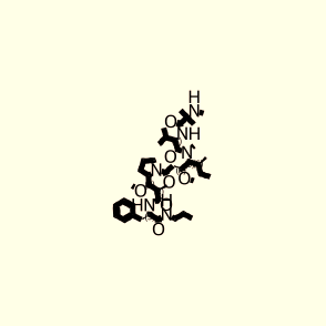 CCCNC(=O)[C@H](Cc1ccccc1)NC(=O)[C@H](C)[C@@H](OC)C1CCCN1C(=O)C[C@@H](OC)[C@H]([C@@H](C)CC)N(C)C(=O)[C@@H](NC(=O)C(C)(C)NC)C(C)C